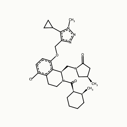 C[C@@H]1CC(=O)N(C[C@@H]2c3c(OCc4nnn(C)c4C4CC4)ccc(Cl)c3CCN2C(=O)[C@@H]2CCCC[C@@H]2C)C1